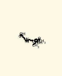 CCCc1c(OCCCc2nnn(CCCCC(=O)O)n2)ccc(C(C)=O)c1O